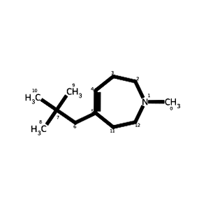 CN1CCC=C(CC(C)(C)C)CC1